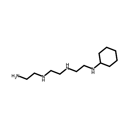 NCCNCCNCCNC1CCCCC1